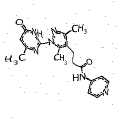 Cc1cc(=O)[nH]c(-n2nc(C)c(CCC(=O)Nc3ccncc3)c2C)n1